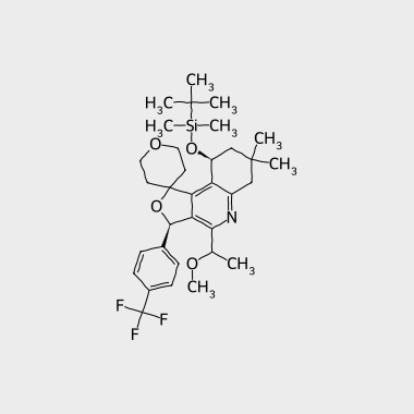 COC(C)c1nc2c(c3c1[C@@H](c1ccc(C(F)(F)F)cc1)OC31CCOCC1)[C@@H](O[Si](C)(C)C(C)(C)C)CC(C)(C)C2